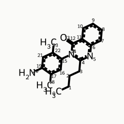 CCCCc1nc2ccccc2c(=O)n1-c1cc(C)c(N)cc1C